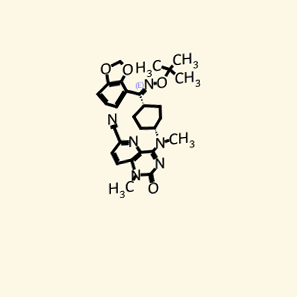 Cn1c(=O)nc(N(C)[C@H]2CC[C@@H](/C(=N\OC(C)(C)C)c3cccc4c3OCO4)CC2)c2nc(C#N)ccc21